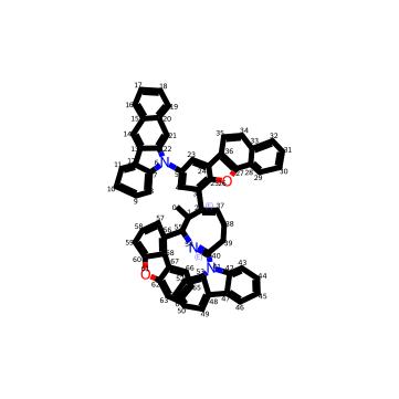 CC1/C(c2cc(-n3c4ccccc4c4cc5ccccc5cc43)cc3c2oc2c4ccccc4ccc32)=C\CC/C(n2c3ccccc3c3ccccc32)=N\C1c1cccc2oc3ccccc3c12